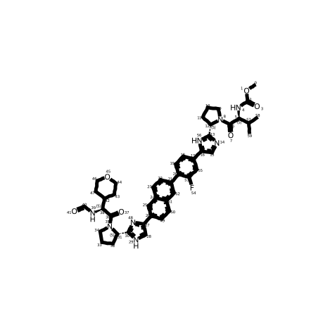 COC(=O)N[C@H](C(=O)N1CCC[C@H]1c1ncc(-c2ccc(-c3ccc4cc(-c5c[nH]c([C@@H]6CCCN6C(=O)[C@@H](NC=O)C6CCOCC6)n5)ccc4c3)c(F)c2)[nH]1)C(C)C